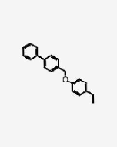 C=Cc1ccc(OCc2ccc(-c3ccccc3)cc2)cc1